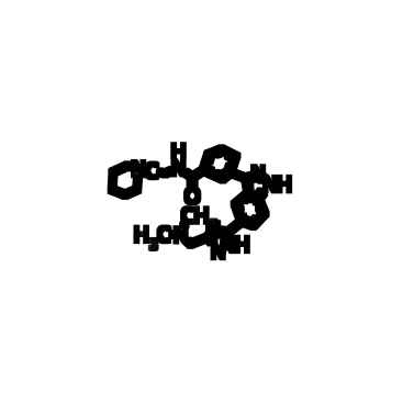 CN(C)Cc1n[nH]c(-c2ccc3[nH]nc(-c4cccc(C(=O)NCCN5CCCCC5)c4)c3c2)n1